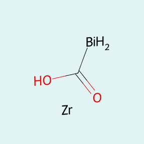 O=[C](O)[BiH2].[Zr]